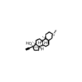 C#C[C@]1(O)CC[C@H]2[C@@H]3CC=C4C[C@@H](F)CC[C@]4(C)[C@H]3CC[C@@]21C